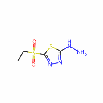 CCS(=O)(=O)c1nnc(NN)s1